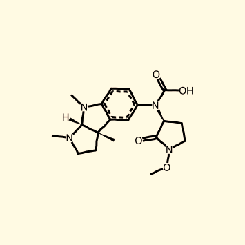 CON1CC[C@H](N(C(=O)O)c2ccc3c(c2)[C@]2(C)CCN(C)[C@@H]2N3C)C1=O